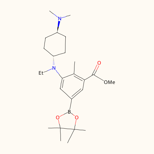 CCN(c1cc(B2OC(C)(C)C(C)(C)O2)cc(C(=O)OC)c1C)[C@H]1CC[C@H](N(C)C)CC1